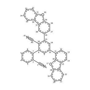 N#Cc1ccccc1-c1cc(-c2cccc3c2oc2ccccc23)cc(-c2ccc3oc4ccccc4c3c2)c1C#N